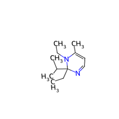 CCN1C(C)=CC=NC1(CC)C(C)C